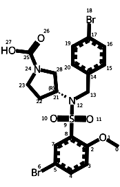 COc1ccc(Br)cc1S(=O)(=O)N(Cc1ccc(Br)cc1)[C@@H]1CCN(C(=O)O)C1